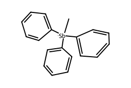 [CH3][Sb]([c]1ccccc1)([c]1ccccc1)[c]1ccccc1